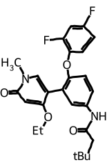 CCOc1cc(=O)n(C)cc1-c1cc(NC(=O)CC(C)(C)C)ccc1Oc1ccc(F)cc1F